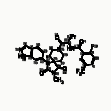 CC(C)[C@@H](NC(=O)c1cc(C(F)(F)F)ccc1F)C(=O)N1CCC2(CC1)C(=O)N(C)C(=O)N2c1ccc2cn[nH]c2c1